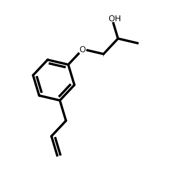 C=CCc1cccc(O[CH]C(C)O)c1